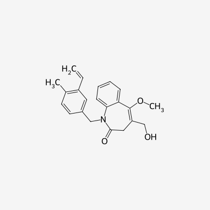 C=Cc1cc(CN2C(=O)CC(CO)=C(OC)c3ccccc32)ccc1C